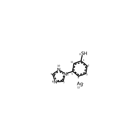 Sc1cccc(-n2cncn2)c1.[Ag]